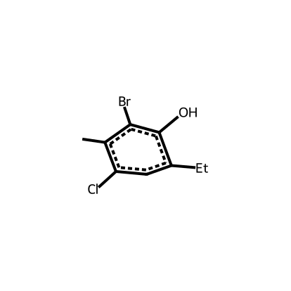 CCc1cc(Cl)c(C)c(Br)c1O